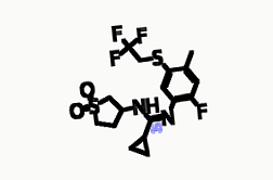 Cc1cc(F)c(/N=C(\NC2CCS(=O)(=O)C2)C2CC2)cc1SCC(F)(F)F